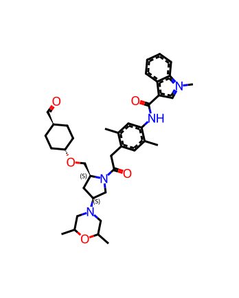 Cc1cc(NC(=O)c2cn(C)c3ccccc23)c(C)cc1CC(=O)N1C[C@@H](N2CC(C)OC(C)C2)C[C@H]1CO[C@H]1CC[C@H](C=O)CC1